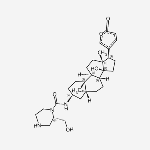 C[C@]12CC[C@H](NC(=O)N3CCNC[C@H]3CO)C[C@H]1CC[C@@H]1[C@@H]2CC[C@]2(C)[C@@H](c3ccc(=O)oc3)CC[C@]12O